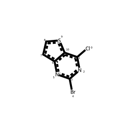 Clc1nc(Br)nc2ccsc12